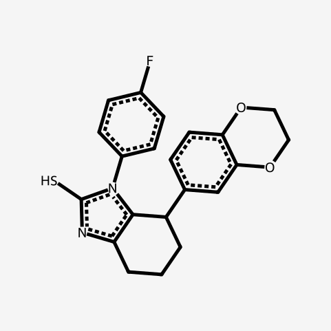 Fc1ccc(-n2c(S)nc3c2C(c2ccc4c(c2)OCCO4)CCC3)cc1